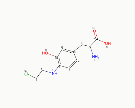 NC(Cc1ccc(NCCCl)c(O)c1)C(=O)O